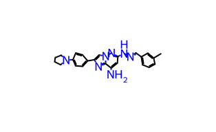 Cc1cccc(/C=N/Nc2cc(N)c3nc(-c4ccc(N5CCCC5)cc4)cn3n2)c1